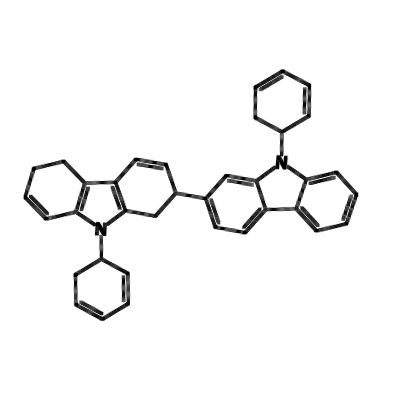 C1=CCC(n2c3c(c4c2CC(c2ccc5c6ccccc6n(C6C=CC=CC6)c5c2)C=C4)CCC=C3)C=C1